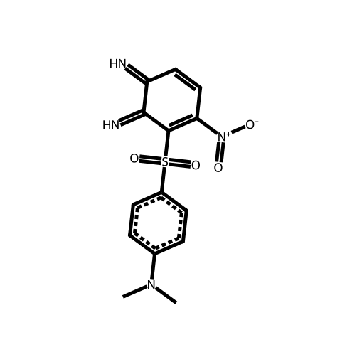 CN(C)c1ccc(S(=O)(=O)C2=C([N+](=O)[O-])C=CC(=N)C2=N)cc1